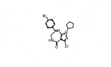 CCc1nn(C2CCCC2)c2c1C(=O)NCC(c1ccc(Br)cc1)=N2